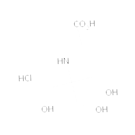 Cl.O=C(O)CNC(CO)(CO)CO